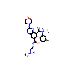 CNCCNC(=O)c1cc(C(C)N(C)c2cccc(F)c2)c2nc(N3CCOCC3)cnc2c1